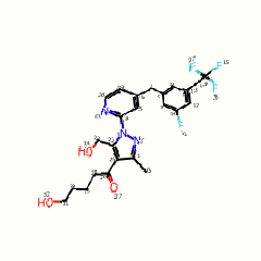 Cc1nn(-c2cc(Cc3cc(F)cc(C(F)(F)F)c3)ccn2)c(CO)c1C(=O)CCCCO